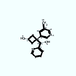 O[C@H](c1ccccn1)[C@]1(c2cncc(C(F)(F)F)c2)C[C@H](O)C1